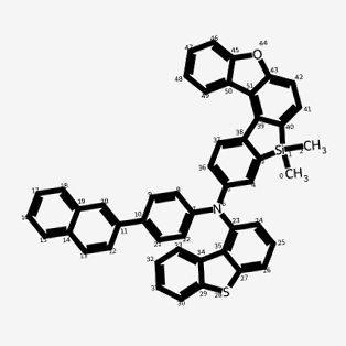 C[Si]1(C)c2cc(N(c3ccc(-c4ccc5ccccc5c4)cc3)c3cccc4sc5ccccc5c34)ccc2-c2c1ccc1oc3ccccc3c21